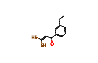 CCc1cccc(C(=O)C=C(S)S)c1